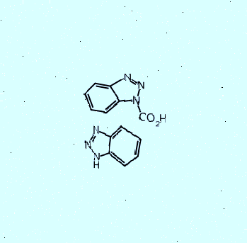 O=C(O)n1nnc2ccccc21.c1ccc2[nH]nnc2c1